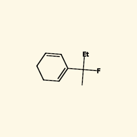 CCC(C)(F)C1=CCCC=C1